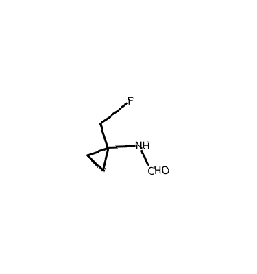 O=CNC1(CF)CC1